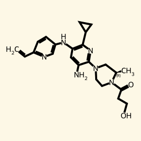 C=Cc1ccc(Nc2cc(N)c(N3CCN(C(=O)CCO)[C@H](C)C3)nc2C2CC2)cn1